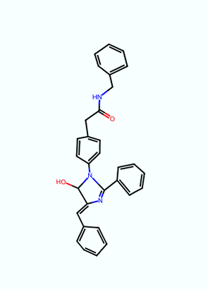 O=C(Cc1ccc(N2C(c3ccccc3)=N/C(=C\c3ccccc3)C2O)cc1)NCc1ccccc1